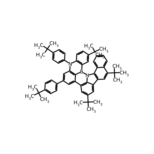 CC(C)(C)c1ccc(-c2cc3c4c(c2)N(c2ccc(C(C)(C)C)cc2)c2ccc(C(C)(C)C)cc2B4n2c4c-3cc(C(C)(C)C)cc4c3cc(C(C)(C)C)c4ccccc4c32)cc1